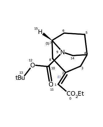 CCOC(=O)/C=C1\CC2CC[C@@H](C1)N(C(=O)OC(C)(C)C)C2